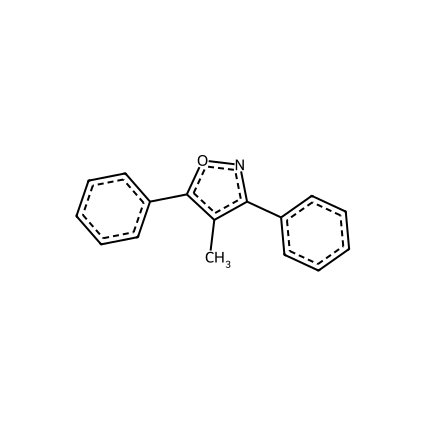 Cc1c(-c2ccccc2)noc1-c1ccccc1